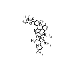 COc1cccc(OC)c1-n1c(NS(=O)(=O)C(C)C(OC)c2ncc(C)cn2)nnc1-c1cccc(S(=O)(=O)N(C)C)c1